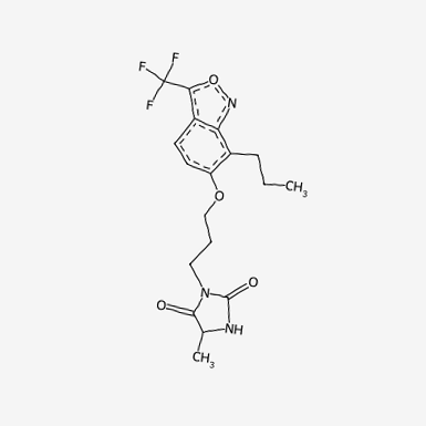 CCCc1c(OCCCN2C(=O)NC(C)C2=O)ccc2c(C(F)(F)F)onc12